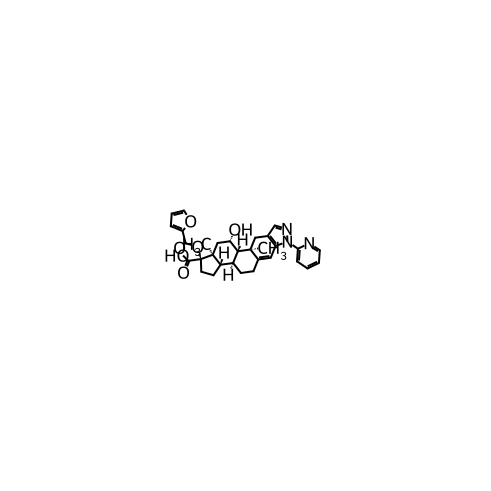 C[C@]12Cc3cnn(-c4ccccn4)c3C=C1CC[C@@H]1[C@@H]2[C@@H](O)C[C@@]2(C)[C@H]1CC[C@]2(OC(=O)c1ccco1)C(=O)O